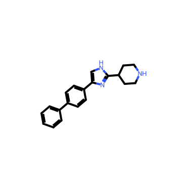 c1ccc(-c2ccc(-c3c[nH]c(C4CCNCC4)n3)cc2)cc1